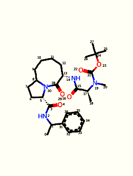 CC(NC(=O)[C@@H]1CCC2CCCC[C@H](NC(=O)[C@H](C)N(C)C(=O)OC(C)(C)C)C(=O)N21)c1ccccc1